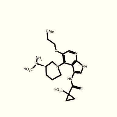 COCCOc1cnc2[nH]cc(NC(=O)C3(C(=O)O)CC3)c2c1N1CCC[C@@H](N(N)C(=O)O)C1